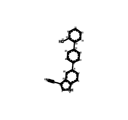 N#Cc1c[nH]c2ccc(-c3ccc(-c4ccccc4O)cc3)cc12